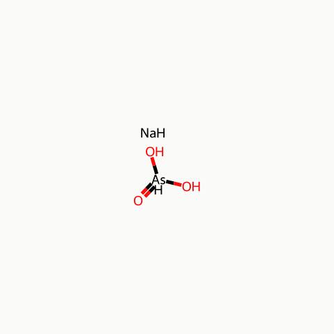 O=[AsH](O)O.[NaH]